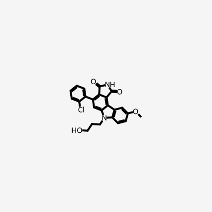 COc1ccc2c(c1)c1c3c(c(-c4ccccc4Cl)cc1n2CCCO)C(=O)NC3=O